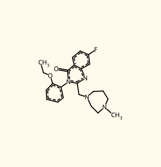 CCOc1ccccc1-n1c(CN2CCCN(C)CC2)nc2cc(F)ccc2c1=O